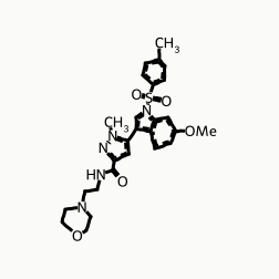 COc1ccc2c(-c3cc(C(=O)NCCN4CCOCC4)nn3C)cn(S(=O)(=O)c3ccc(C)cc3)c2c1